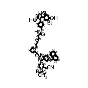 C=C(F)C(=O)N1CCN(c2nc(OCC3CCCN3CCCOCCC(=O)NCc3ccc(-n4c(O)nnc4-c4cc(CC)c(O)cc4O)cc3)nc3c2CCN(c2cccc4cccc(Cl)c24)C3)CC1CC#N